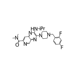 CC(C)Nc1nc2cc(C(=O)N(C)C)ncc2nc1N1CCN(Cc2ccc(F)cc2F)CC1